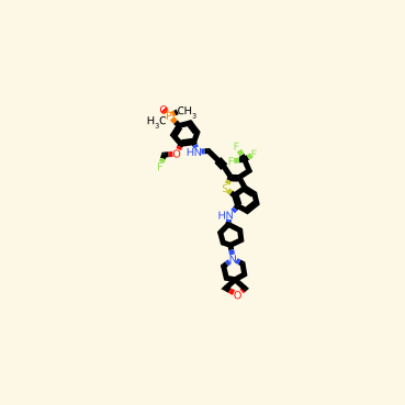 CP(C)(=O)c1ccc(NCC#Cc2sc3c(NC4CCC(N5CCC6(CC5)COC6)CC4)cccc3c2CC(F)(F)F)c(OCF)c1